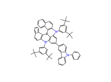 CC(C)(C)c1cc(N2c3cc(-c4ccc5c(c4)c4ccccc4n5-c4ccccc4)cc4c3B(c3c2ccc2ccccc32)c2c(ccc3ccccc23)N4c2cc(C(C)(C)C)cc(C(C)(C)C)c2)cc(C(C)(C)C)c1